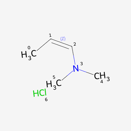 C/C=C\N(C)C.Cl